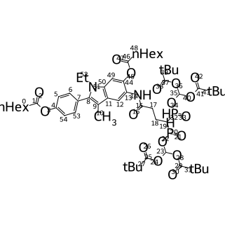 CCCCCCC(=O)Oc1ccc(-c2c(C)c3cc(NC(=O)CCC([PH](=O)OC(OC(=O)C(C)(C)C)OC(=O)C(C)(C)C)[PH](=O)OC(OC(=O)C(C)(C)C)OC(=O)C(C)(C)C)c(OC(=O)CCCCCC)cc3n2CC)cc1